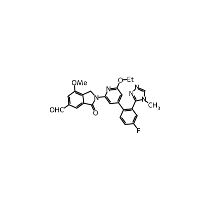 CCOc1cc(-c2ccc(F)cc2-c2nncn2C)cc(N2Cc3c(OC)cc(C=O)cc3C2=O)n1